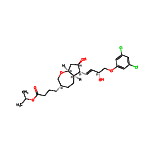 CC(C)OC(=O)CCC[C@H]1CC[C@@H]2[C@@H](C=C[C@@H](O)COc3cc(Cl)cc(Cl)c3)[C@H](O)C[C@@H]2OC1